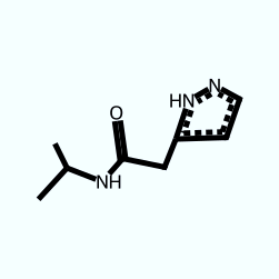 CC(C)NC(=O)Cc1ccn[nH]1